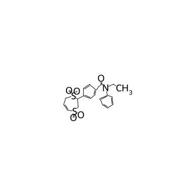 CCN(C(=O)c1ccc(C2CS(=O)(=O)C=CCS2(=O)=O)cc1)c1ccccc1